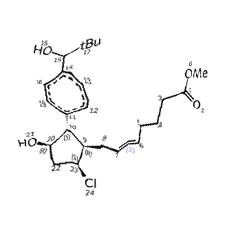 COC(=O)CCC/C=C\C[C@@H]1[C@@H](c2ccc(C(O)C(C)(C)C)cc2)[C@H](O)C[C@@H]1Cl